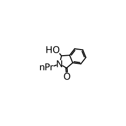 CCCN1C(=O)c2ccccc2C1O